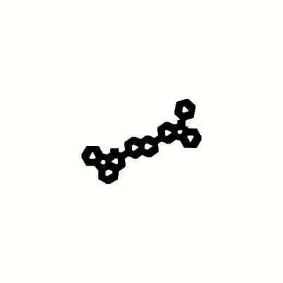 c1ccc(-n2c3ccccc3c3cc(-c4ccc5cc(-c6cc7cccc8c7c(n6)-c6ccccc6-8)ccc5c4)ccc32)cc1